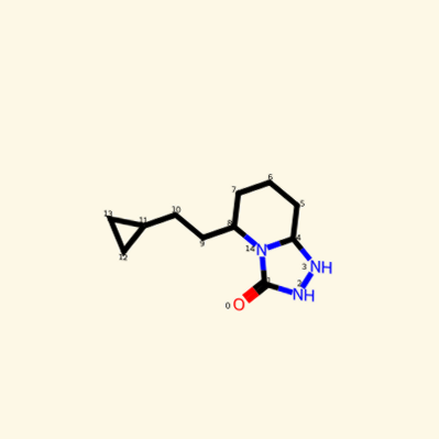 O=C1NNC2CCCC(CCC3CC3)N12